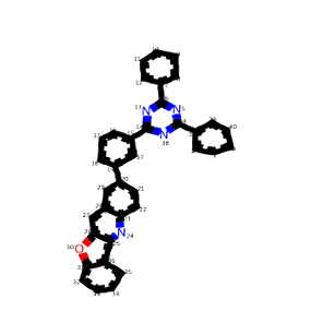 c1ccc(-c2nc(-c3ccccc3)nc(-c3cccc(-c4ccc5nc6c(cc5c4)oc4ccccc46)c3)n2)cc1